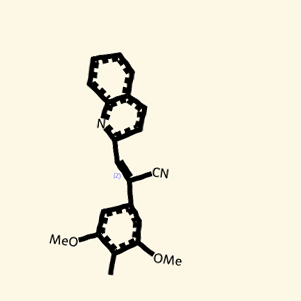 COc1cc(/C(C#N)=C/c2ccc3ccccc3n2)cc(OC)c1C